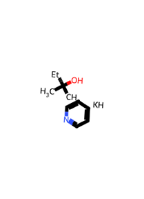 CCC(C)(C)O.[KH].c1ccncc1